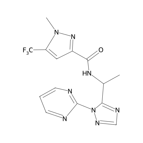 CC(NC(=O)c1cc(C(F)(F)F)n(C)n1)c1ncnn1-c1ncccn1